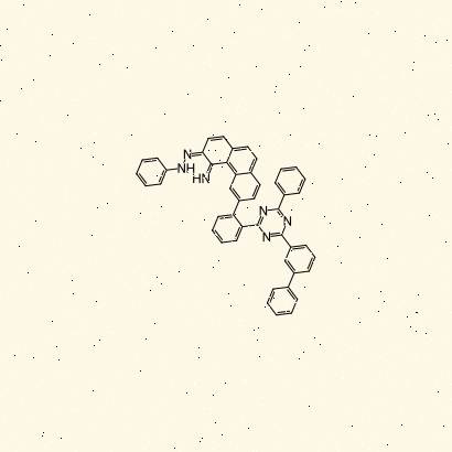 N=C1/C(=N\Nc2ccccc2)C=Cc2ccc3ccc(-c4ccccc4-c4nc(-c5ccccc5)nc(-c5cccc(-c6ccccc6)c5)n4)cc3c21